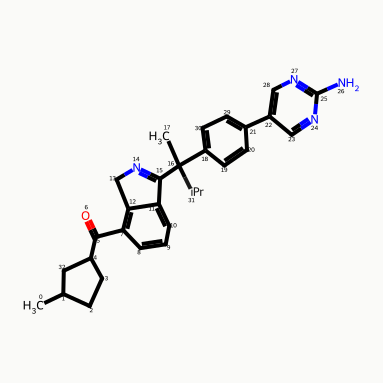 CC1CCC(C(=O)c2cccc3c2CN=C3C(C)(c2ccc(-c3cnc(N)nc3)cc2)C(C)C)C1